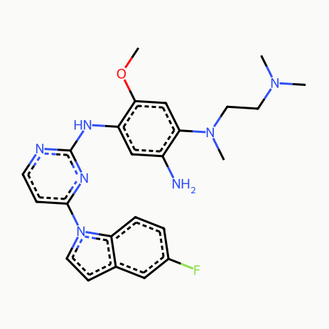 COc1cc(N(C)CCN(C)C)c(N)cc1Nc1nccc(-n2ccc3cc(F)ccc32)n1